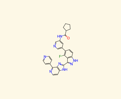 O=C(Nc1cncc(-c2ccc3[nH]nc(-c4nc5c(-c6ccncc6)nccc5[nH]4)c3c2F)c1)C1CCCC1